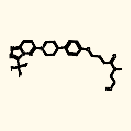 CN(CCO)C(=O)CCCOc1ccc(C2CCN(c3ccc4nnc(C(F)(F)F)n4n3)CC2)cc1